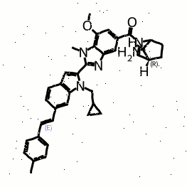 COc1cc(C(=O)N2C[C@H]3CCC2[C@H]3N)cc2nc(-c3cc4ccc(/C=C/c5ccc(C)cc5)cc4n3CC3CC3)n(C)c12